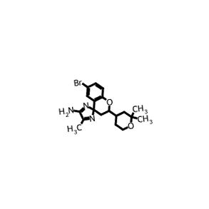 CC1=NC2(CC(C3CCOC(C)(C)C3)Oc3ccc(Br)cc32)N=C1N